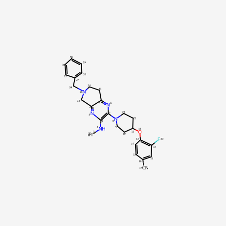 CC(C)Nc1nc2c(nc1N1CCC(Oc3ccc(C#N)cc3F)CC1)CCN(Cc1ccccc1)C2